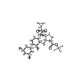 CC(C)(C)OC(=O)N1CC[C@H](NS(=O)(=O)C2CC2)[C@@H]1Cc1cccc(-c2cc(F)cc(F)c2)c1F